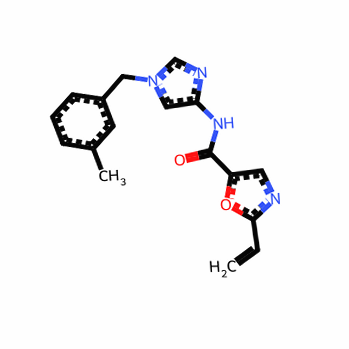 C=Cc1ncc(C(=O)Nc2cn(Cc3cccc(C)c3)cn2)o1